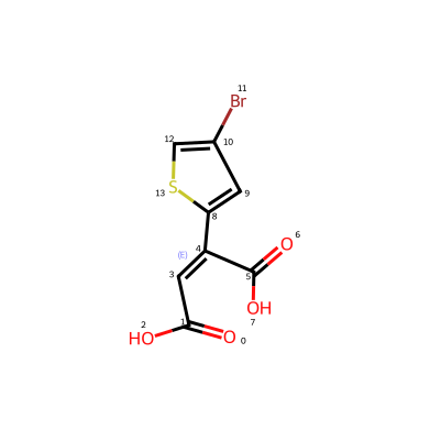 O=C(O)/C=C(\C(=O)O)c1cc(Br)cs1